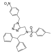 Cc1ccc(S(=O)(=O)N(CCC(c2ccccc2)c2ccccc2)Cc2nncn2Cc2ccc([N+](=O)[O-])cc2)cc1